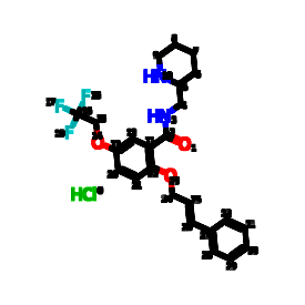 Cl.O=C(NCC1CCCCN1)c1cc(OCC(F)(F)F)ccc1OC/C=C/c1ccccc1